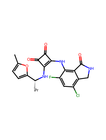 Cc1ccc([C@H](Nc2c(Nc3c(F)cc(Cl)c4c3C(=O)NC4)c(=O)c2=O)C(C)C)o1